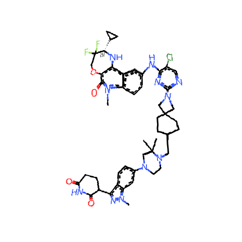 Cn1nc(C2CCC(=O)NC2=O)c2ccc(N3CCN(CC4CCC5(CC4)CN(c4ncc(Cl)c(Nc6ccc7c(c6)c6c(c(=O)n7C)OCC(F)(F)[C@H](C7CC7)N6)n4)C5)C(C)(C)C3)cc21